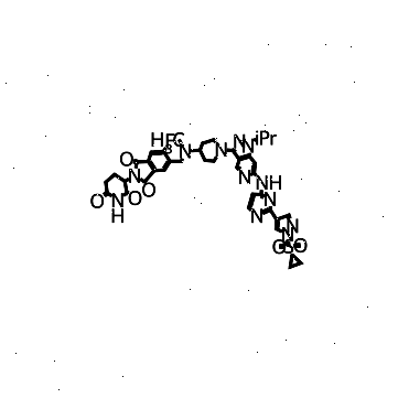 CC(C)n1nc(N2CCC(N(C)Cc3cc4c(cc3F)C(=O)N(C3CCC(=O)NC3=O)C4=O)CC2)c2cnc(Nc3ccnc(-c4cnn(S(=O)(=O)C5CC5)c4)n3)cc21